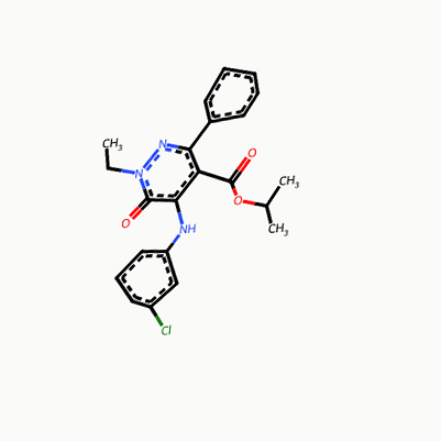 CCn1nc(-c2ccccc2)c(C(=O)OC(C)C)c(Nc2cccc(Cl)c2)c1=O